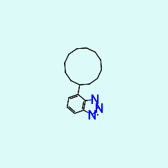 c1cc2c(c(C3CCCCCCCCCCC3)c1)N=N[N]2